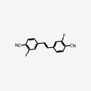 N#Cc1ccc(/C=C/c2ccc(C#N)c(F)c2)cc1F